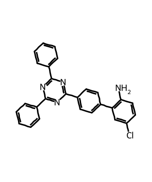 Nc1ccc(Cl)cc1-c1ccc(-c2nc(-c3ccccc3)nc(-c3ccccc3)n2)cc1